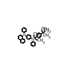 CCC(C)(CC)c1ccc(C(CC)(CC)N(c2ccccc2)c2ccc(N(c3ccccc3)c3cccc4ccccc34)cc2)cc1